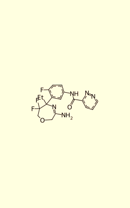 CCC1(c2cc(NC(=O)c3cccnn3)ccc2F)N=C(N)COCC1(F)F